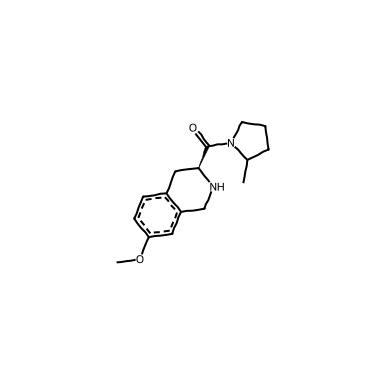 COc1ccc2c(c1)CN[C@H](C(=O)N1CCCC1C)C2